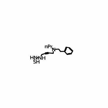 CCCN(CC#CCNNS)CCc1ccccc1